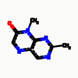 Cc1ncc2ncc(=O)n(C)c2n1